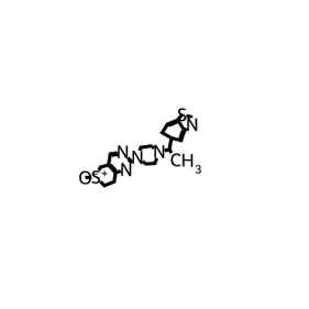 CC(C1C=c2ncsc2=CC1)N1CCN(c2ncc3c(n2)CC[S+]([O-])C3)CC1